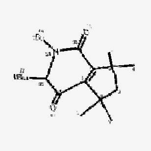 CC1(C)CC(C)(C)C2=C1C(=O)C(C(C)(C)C)N(C(C)(C)C)C2=O